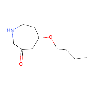 CCCCOC1CCNCC(=O)C1